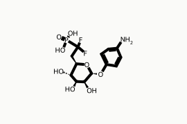 Nc1ccc(O[C@H]2O[C@H](CC(F)(F)P(=O)(O)O)[C@@H](O)[C@H](O)[C@@H]2O)cc1